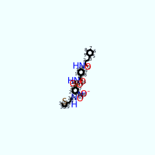 O=C(C=Cc1ccccc1)Nc1ccc(C(=O)NS(=O)(=O)c2ccc(NCCc3cccs3)c([N+](=O)[O-])c2)cc1